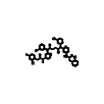 O=C(Cc1ccccc1Cl)Nc1ccnc(N(C(=O)CCC(=O)N(c2cccc(Cl)c2)c2cc(NC(=O)Cc3ccc(F)cc3Cl)ccn2)c2cccc(Cl)c2)c1